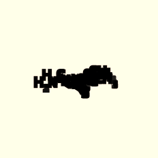 C[C@H](CCN)N1CCC(N(Cc2ccsc2)c2ccc(O[Si](C)(C)C(C)(C)C)cc2)CC1